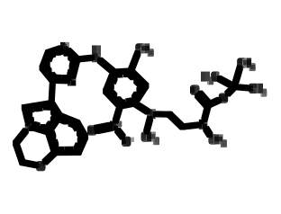 Cc1cc(N(C)CCN(C)C(=O)OC(C)(C)C)c([N+](=O)[O-])cc1Nc1nccc(-c2cn3c4c(cccc24)OCC3)n1